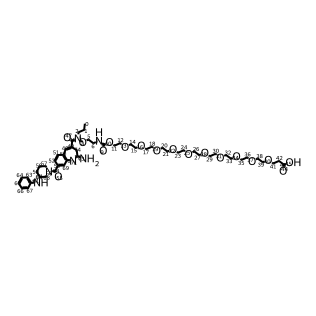 CCCN(OCCNC(=O)OCCOCCOCCOCCOCCOCCOCCOCCOCCOCCOCCC(=O)O)C(=O)C1=Cc2ccc(C(=O)N3CCC[C@H](Nc4ccccc4)C3)cc2N=C(N)C1